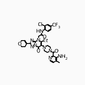 CCc1c(N2CCN(C(=O)c3nccc(C)c3N)CC2)c(=O)n2nc(C3=CCOCC3)nc2n1CC(=O)Nc1ccc(C(F)(F)F)cc1Cl